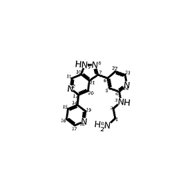 NCCNc1cc(-c2n[nH]c3cnc(-c4cccnc4)cc23)ccn1